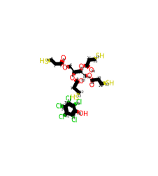 O=C(CCS)OC[C@H](OC(=O)CCS)[C@@H](COC(=O)CCS)OC(=O)CCS.Oc1c(Cl)c(Cl)c(Cl)c(Cl)c1Cl